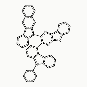 c1ccc(-n2c3ccccc3c3c(-c4nc5sc6ccccc6c5nc4-n4c5ccccc5c5cc6ccccc6cc54)cccc32)cc1